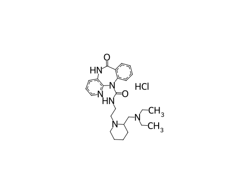 CCN(CC)CC1CCCCN1CCNC(=O)N1c2ccccc2C(=O)Nc2cccnc21.Cl